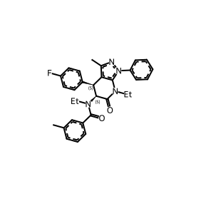 CCN1C(=O)[C@@H](N(CC)C(=O)c2cccc(C)c2)[C@@H](c2ccc(F)cc2)c2c(C)nn(-c3ccccc3)c21